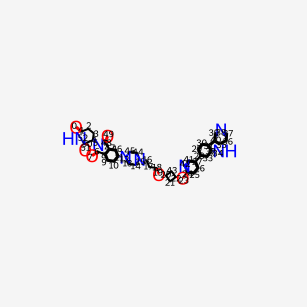 O=C1CCC(N2C(=O)c3ccc(N4CCN(CCCO[C@H]5C[C@H](Oc6ccc(-c7ccc8c(c7)[nH]c7ccncc78)cn6)C5)CC4)cc3C2=O)C(=O)N1